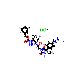 CC1(c2ccc(C=NN)cc2)NC(=O)N(CC(=O)NCC(NC(=O)OCc2ccccc2)C(=O)O)C1=O.Cl